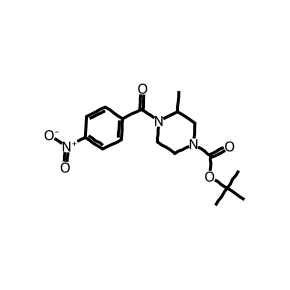 CC1CN(C(=O)OC(C)(C)C)CCN1C(=O)c1ccc([N+](=O)[O-])cc1